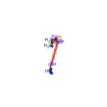 Cc1ncsc1-c1ccc(C(C)NC(=O)[C@@H]2C[C@@H](O)CN2C(=O)C(NC(=O)CCOCCOCCOCCOCCOCCOCCNC(=O)CCc2ccc3c(c2)[nH]c2ccncc23)C(C)(C)C)cc1